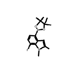 Cc1cc2c(B3OC(C)(C)C(C)(C)O3)ccc(F)c2n1C